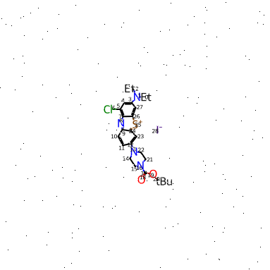 CCN(CC)c1cc(Cl)c2nc3ccc(N4CCN(C(=O)OC(C)(C)C)CC4)cc3[s+]c2c1.[I-]